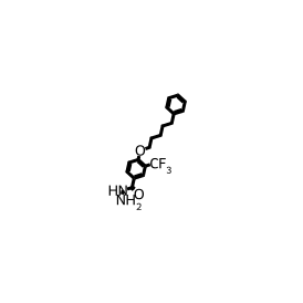 NNC(=O)c1ccc(OCCCCCc2ccccc2)c(C(F)(F)F)c1